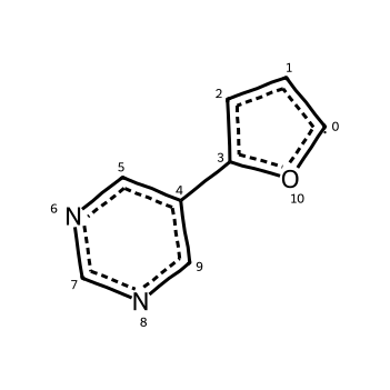 [c]1ccc(-c2cncnc2)o1